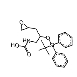 CC(C)(C)[Si](OC(CNC(=O)O)CC1CO1)(c1ccccc1)c1ccccc1